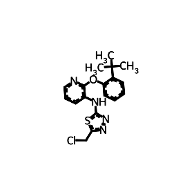 CC(C)(C)c1ccccc1Oc1ncccc1Nc1nnc(CCl)s1